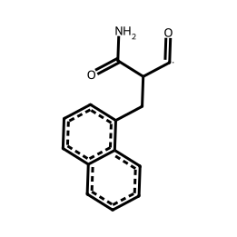 NC(=O)C([C]=O)Cc1cccc2ccccc12